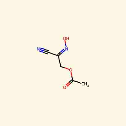 CC(=O)OCC(C#N)=NO